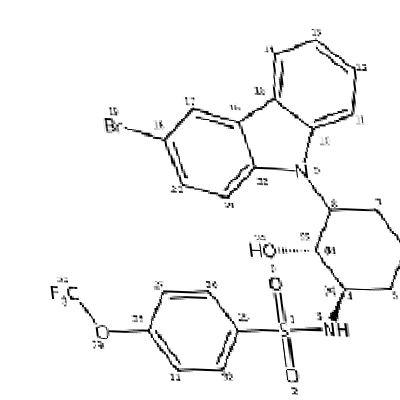 O=S(=O)(N[C@@H]1CCCC(n2c3ccccc3c3cc(Br)ccc32)[C@H]1O)c1ccc(OC(F)(F)F)cc1